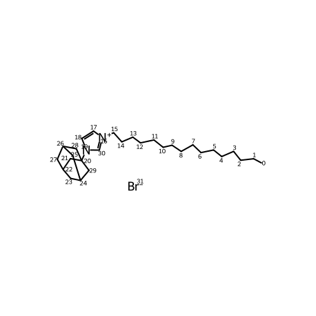 CCCCCCCCCCCCCCCC[n+]1ccn(C23CC4CC(CC(C4)C2)C3)c1.[Br-]